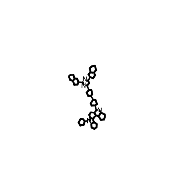 c1ccc(-n2c3ccccc3c3c4c(ccc32)c(-c2ccc(-c3ccc(-c5cc(-c6ccc7ccccc7c6)nc(-c6ccc7ccccc7c6)n5)cc3)cc2)nc2ccccc24)cc1